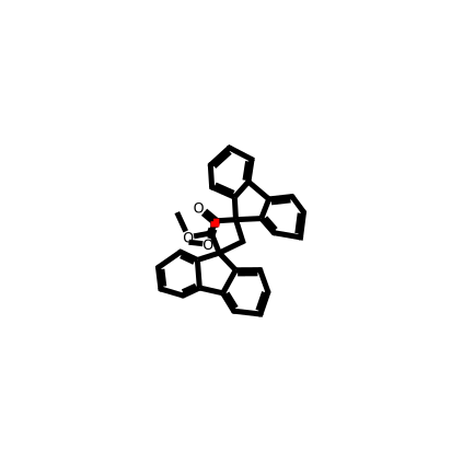 COC(=O)C1(CC2(C(=O)OC)c3ccccc3-c3ccccc32)c2ccccc2-c2ccccc21